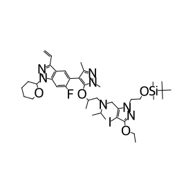 C=Cc1nn(C2CCCCO2)c2cc(F)c(-c3c(C)nn(C)c3OC(C)CN(Cc3c(I)c(OCC)nn3CCO[Si](C)(C)C(C)(C)C)C(C)C)cc12